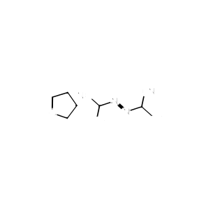 C1CCOC1.CC(C)C(C#N)N=NC(C#N)C(C)C